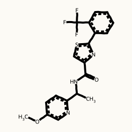 COc1ccc(C(C)NC(=O)c2csc(-c3ccccc3C(F)(F)F)n2)nc1